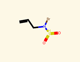 C=CCN(Br)[SH](=O)=O